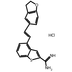 Cl.N=C(N)c1cc2c(/C=C/c3ccc4c(c3)CCO4)cccc2s1